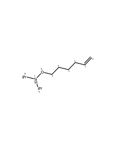 C=CCCCCO[SiH](C(C)C)C(C)C